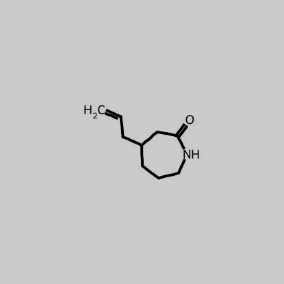 C=CCC1CCCNC(=O)C1